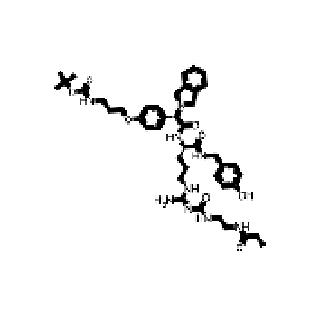 CCC(=O)NCCNC(=O)/N=C(/N)NCCC[C@@H](NC(=O)[C@H](c1ccc(OCCCNC(=O)OC(C)(C)C)cc1)N1Cc2ccccc2C1)C(=O)NCc1ccc(O)cc1